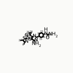 Cc1nc(S(=O)(=O)C2(c3cc(N)nc(-c4ccc(NC(N)=O)cc4)n3)CC2)sc1C